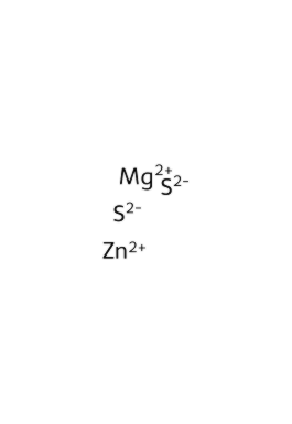 [Mg+2].[S-2].[S-2].[Zn+2]